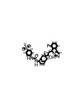 CCC1(C(O)CC2c3c(F)cccc3-c3cncn32)CC2CCC(NC(=O)Nc3ccc(S(C)(=O)=O)cc3)C(C2)C1